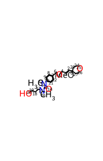 COC1(C=CCOCc2ccc(N(C)C(=O)N(C)CCCO)cc2)CCOCC1